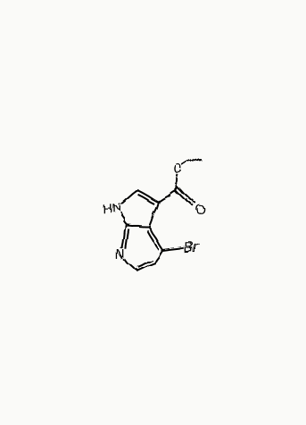 COC(=O)c1c[nH]c2nccc(Br)c12